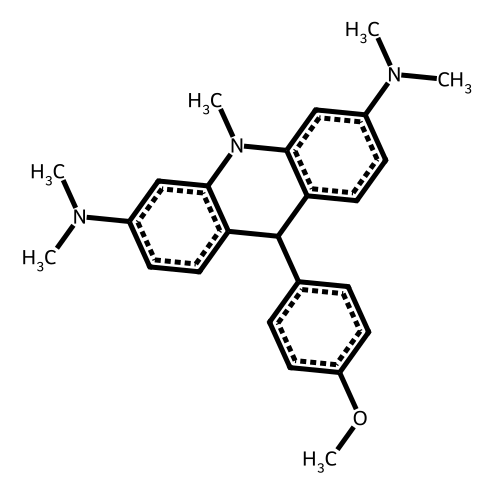 COc1ccc(C2c3ccc(N(C)C)cc3N(C)c3cc(N(C)C)ccc32)cc1